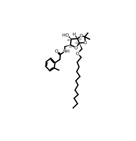 CCCCCCCCCCCCOC[C@@]12O[C@@H](CNC(=O)Cc3ccccc3C)[C@@H](O)[C@@H]1OC(C)(C)O2